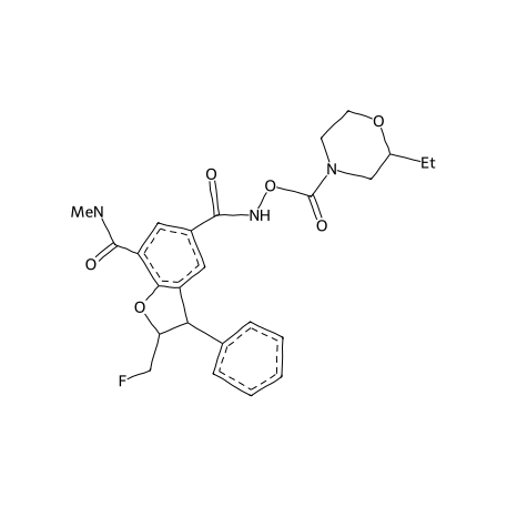 CCC1CN(C(=O)ONC(=O)c2cc(C(=O)NC)c3c(c2)C(c2ccccc2)C(CF)O3)CCO1